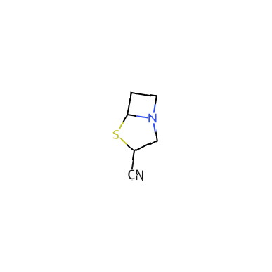 N#CC1CN2CCC2S1